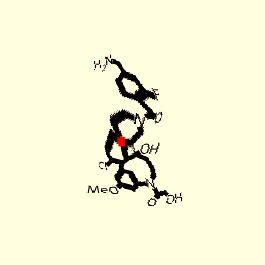 COc1cc2cc(c1)N(C(=O)CO)CCCC(O)([C@@H]1CCCN(C(=O)c3ccc(CN)cc3F)C1)c1cccc(Cl)c1-2